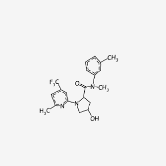 Cc1cccc(N(C)C(=O)C2CC(O)CN2c2cc(C(F)(F)F)cc(C)n2)c1